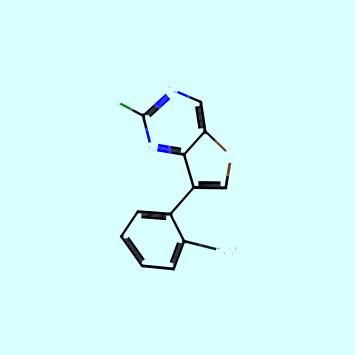 CNc1ccccc1-c1csc2cnc(Cl)nc12